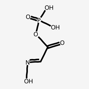 O=C(C=NO)OP(=O)(O)O